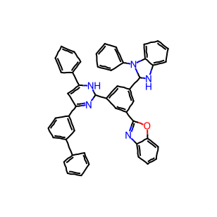 C1=C(c2ccccc2)NC(c2cc(-c3nc4ccccc4o3)cc(C3Nc4ccccc4N3c3ccccc3)c2)N=C1c1cccc(-c2ccccc2)c1